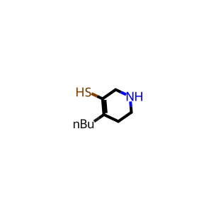 CCCCC1=C(S)CNCC1